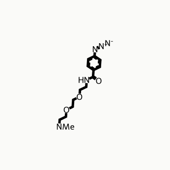 CNCCOCCOCCNC(=O)c1ccc(N=[N+]=[N-])cc1